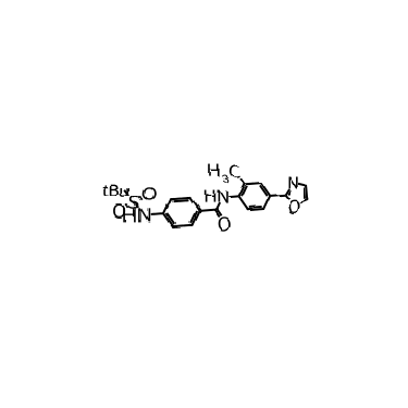 Cc1cc(-c2ncco2)ccc1NC(=O)c1ccc(NS(=O)(=O)C(C)(C)C)cc1